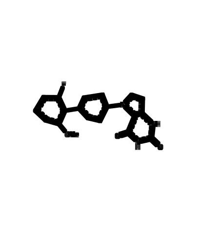 COc1cccc(F)c1-c1ccc(-n2ccc3[nH]c(=O)[nH]c(=O)c32)cc1